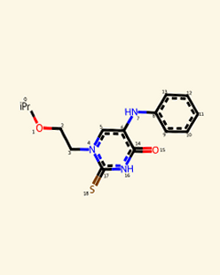 CC(C)OCCn1cc(Nc2ccccc2)c(=O)[nH]c1=S